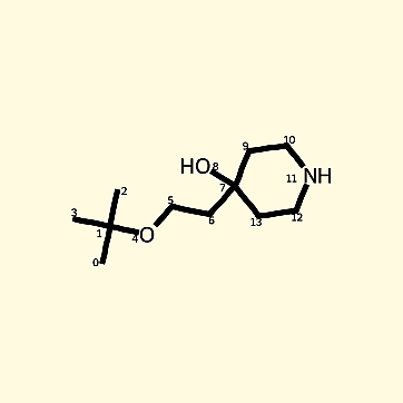 CC(C)(C)OCCC1(O)CCNCC1